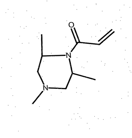 C=CC(=O)N1C(C)CN(C)CC1C